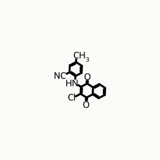 Cc1ccc(NC2=C(Cl)C(=O)c3ccccc3C2=O)c(C#N)c1